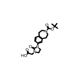 CC(C)(C)OC(=O)N1CCc2ccc(N3CCN(CC(=O)O)C3=O)cc2CC1